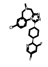 CN1Cc2cc(Cl)ccc2-n2c(nnc2[C@H]2CC[C@H](C3N=CC(F)=CC3F)CC2)C1